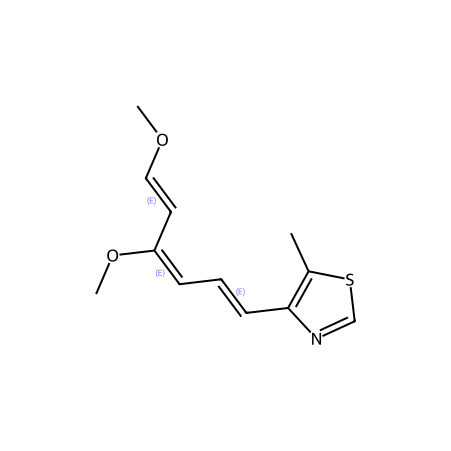 CO/C=C/C(=C\C=C\c1ncsc1C)OC